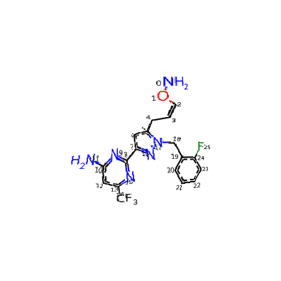 NO/C=C\Cc1cc(-c2nc(N)cc(C(F)(F)F)n2)nn1Cc1ccccc1F